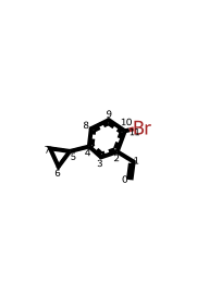 C=Cc1cc(C2CC2)ccc1Br